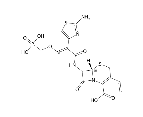 C=CC1=C(C(=O)O)N2C(=O)C(NC(=O)C(=NOCP(=O)(O)O)c3csc(N)n3)[C@@H]2SC1